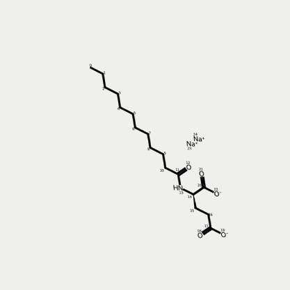 CCCCCCCCCCCC(=O)N[C@H](CCC(=O)[O-])C(=O)[O-].[Na+].[Na+]